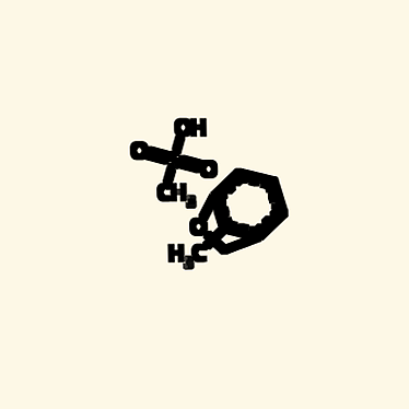 CS(=O)(=O)O.Cc1c2cccc1OC2